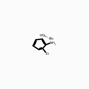 CC[C@@H](C)O.CCc1ccccc1N